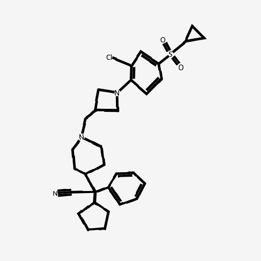 N#CC(c1ccccc1)(C1CCCC1)C1CCN(CC2CN(c3ccc(S(=O)(=O)C4CC4)cc3Cl)C2)CC1